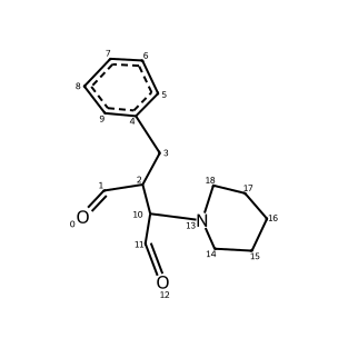 O=CC(Cc1ccccc1)C(C=O)N1CCCCC1